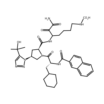 CC(C)(O)c1cnnn1[C@H]1C[C@@H](C(=O)NC(CCCCNC(=O)O)C(=O)C(N)=O)N(C(=O)[C@@H](CC2CCCCC2)NC(=O)c2ccc3ccccc3c2)C1